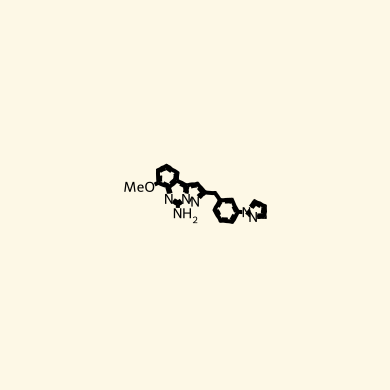 COc1cccc2c1nc(N)n1nc(Cc3cccc(-n4cccn4)c3)cc21